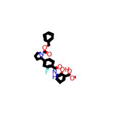 COC(=O)c1cccc(NC(=O)c2ccc(C3CCCN3C(=O)OCc3ccccc3)cc2F)c1O